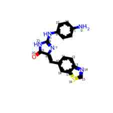 Nc1ccc(NC2=NC(=Cc3ccc4ncsc4c3)C(=O)N2)cc1